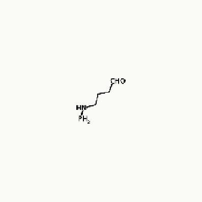 O=CCCCNP